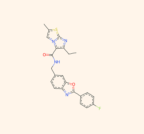 CCc1nc2sc(C)cn2c1C(=O)NCc1ccc2nc(-c3ccc(F)cc3)oc2c1